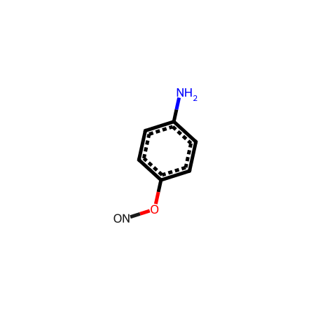 Nc1ccc(ON=O)cc1